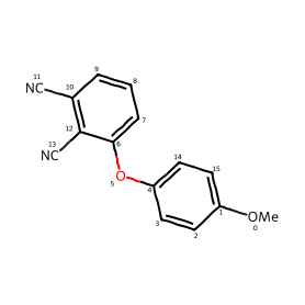 COc1ccc(Oc2cccc(C#N)c2C#N)cc1